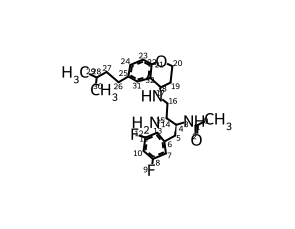 CC(=O)N[C@@H](Cc1cc(F)cc(F)c1)[C@H](N)CNC1CCOc2ccc(CCC(C)C)cc21